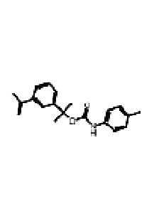 C=C(C)c1cccc(C(C)(C)OC(=O)Nc2ccc(C)cc2)c1